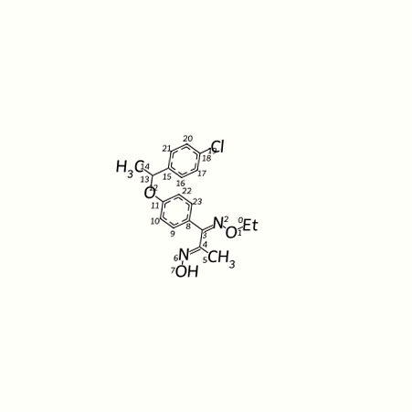 CCON=C(C(C)=NO)c1ccc(OC(C)c2ccc(Cl)cc2)cc1